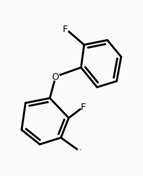 [CH2]c1cccc(Oc2ccccc2F)c1F